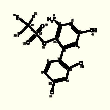 Cc1nc(O)nc(-c2ccc(Cl)cc2Cl)c1OS(=O)(=O)C(F)(F)F